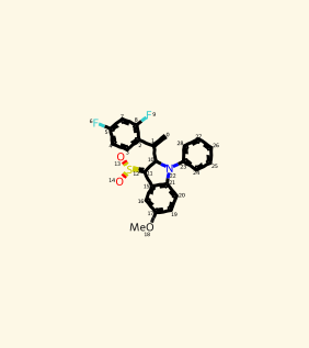 C=C(c1ccc(F)cc1F)C1C(=S(=O)=O)c2cc(OC)ccc2N1c1ccccc1